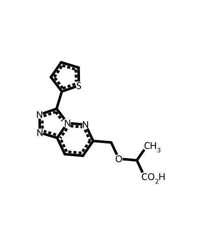 CC(OCc1ccc2nnc(-c3cccs3)n2n1)C(=O)O